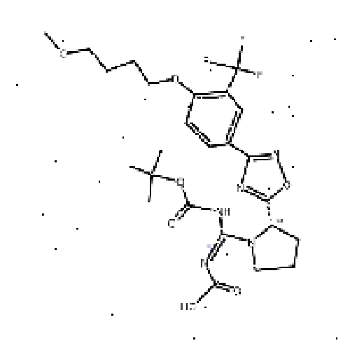 COCCCCOc1ccc(-c2noc([C@@H]3CCCN3/C(=N\C(=O)O)NC(=O)OC(C)(C)C)n2)cc1C(F)(F)F